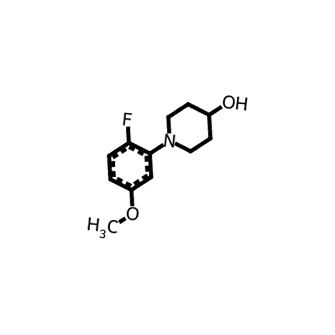 COc1ccc(F)c(N2CCC(O)CC2)c1